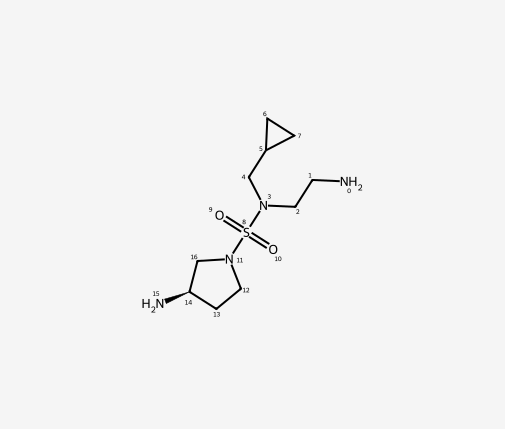 NCCN(CC1CC1)S(=O)(=O)N1CC[C@@H](N)C1